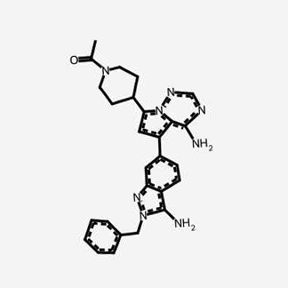 CC(=O)N1CCC(c2cc(-c3ccc4c(N)n(Cc5ccccc5)nc4c3)c3c(N)ncnn23)CC1